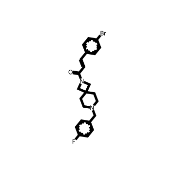 O=C(C=Cc1ccc(Br)cc1)N1CC2(CCN(Cc3ccc(F)cc3)CC2)C1